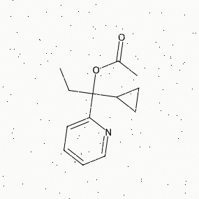 CCC(OC(C)=O)(c1ccccn1)C1CC1